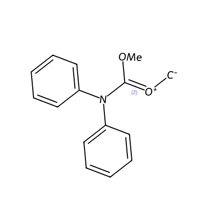 [CH2-]/[O+]=C(\OC)N(c1ccccc1)c1ccccc1